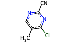 Cc1cnc(C#N)nc1Cl